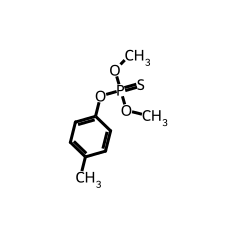 COP(=S)(OC)Oc1ccc(C)cc1